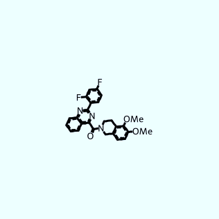 COc1ccc2c(c1OC)CCN(C(=O)c1nc(-c3ccc(F)cc3F)nc3ccccc13)C2